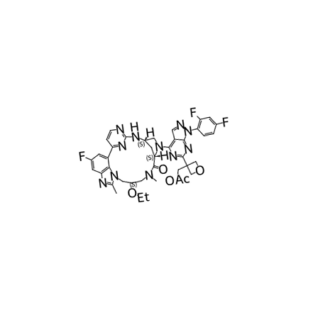 CCO[C@H]1CN(C)C(=O)[C@@H]2C[C@@H](CN2c2nc(C3(COC(C)=O)COC3)nc3c2cnn3-c2ccc(F)cc2F)Nc2nccc(n2)-c2cc(F)cc3nc(C)n(c23)C1